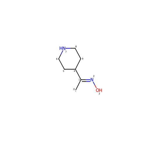 [CH2]C(=NO)C1CCNCC1